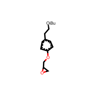 CC(C)COCCc1ccc(OCC2CO2)cc1